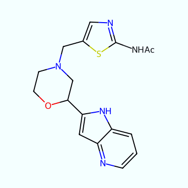 CC(=O)Nc1ncc(CN2CCOC(c3cc4ncccc4[nH]3)C2)s1